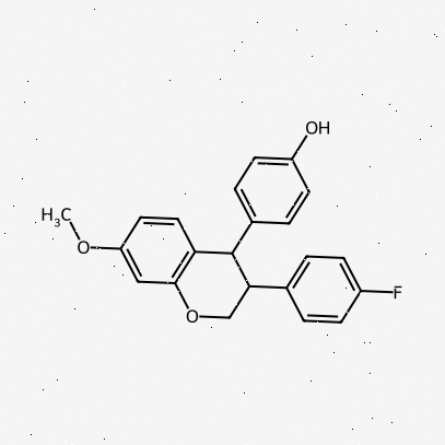 COc1ccc2c(c1)OCC(c1ccc(F)cc1)C2c1ccc(O)cc1